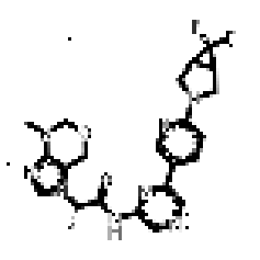 C[C@@H](C(=O)Nc1cncc(-c2ccc(N3CC4C(C3)C4(F)F)nc2)n1)n1cnc2c1COCN2C